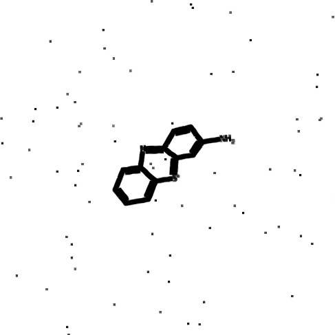 Nc1ccc2nc3ccccc3[s+]c2c1